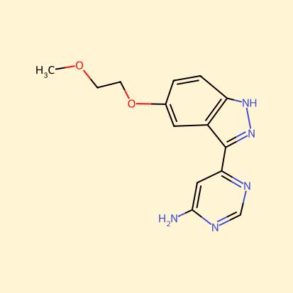 COCCOc1ccc2[nH]nc(-c3cc(N)ncn3)c2c1